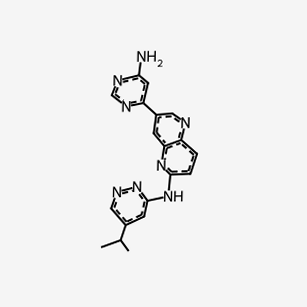 CC(C)c1cnnc(Nc2ccc3ncc(-c4cc(N)ncn4)cc3n2)c1